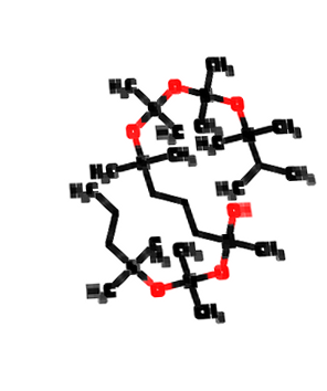 CCC[Si](C)(C)O[Si](C)(C)O[Si](C)(O)CCC[Si](C)(C)O[Si](C)(C)O[Si](C)(C)O[Si](C)(C)C(C)C